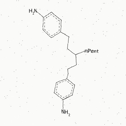 CCCCCC(CCc1ccc(N)cc1)CCc1ccc(N)cc1